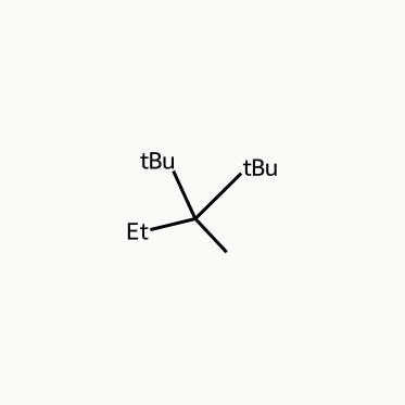 [CH2]C(C)(C)C(C)(CC)C(C)(C)C